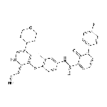 N=C/C=C1\NC=C(C2CCOCC2)C=C1Oc1ccc(NC(=O)c2cccn(-c3ccc(F)cc3)c2=O)cc1F